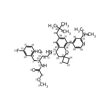 COCC(=O)N[C@@H](Cc1cccc(F)c1)[C@H](O)CN[C@H]1CC2(CCC2)Oc2c(-c3ccnc(N(C)C)c3)cc(CC(C)(C)C)cc21